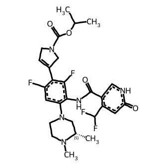 CC(C)OC(=O)N1CC=C(c2c(F)cc(N3CCN(C)[C@@H](C)C3)c(NC(=O)c3c[nH]c(=O)cc3C(F)F)c2F)C1